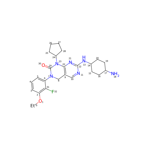 CCOc1cccc(N2Cc3cnc(NC4CCC(N)CC4)nc3N(C3CCCC3)C2=O)c1F